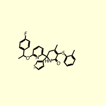 CC1=C(Sc2ccccc2C)C(=O)NC(c2ccsc2)(c2cccc(OC(C)c3ccc(F)cc3)n2)C1